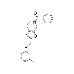 Cc1cccc(OCc2nc3c(o2)CN(C(=O)c2ccccc2)CC3)c1